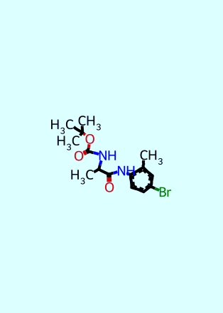 Cc1cc(Br)ccc1NC(=O)C(C)NC(=O)OC(C)(C)C